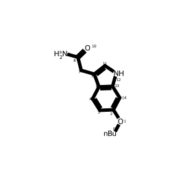 CCCCOc1ccc2c(CC(N)=O)c[nH]c2c1